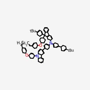 C=CC1=CCC(OC2CCC(C3(C4=CC=C(C(C)(C)C)CC4)C4=C(C=CC(N(C5=CC=C(C6=CC7C8=CC=CCC8N(C8C=CC(OC9C=CC(C=C)CC9)CC8)C7C=C6)CC5)C5=CC=C(C6CC=C(C(C)(C)C)CC6)CC5)C4)c4ccccc43)CC2)CC1